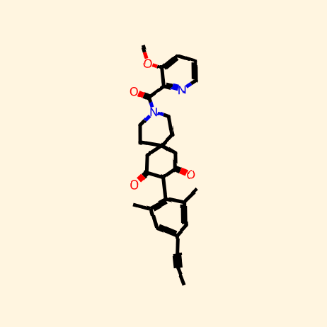 CC#Cc1cc(C)c(C2C(=O)CC3(CCN(C(=O)c4ncccc4OC)CC3)CC2=O)c(C)c1